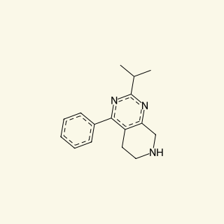 CC(C)c1nc2c(c(-c3ccccc3)n1)CCNC2